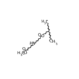 CCCCCCC(CCCCCC)CCCOC(=O)CCCCCNCCCCCC(=O)OC